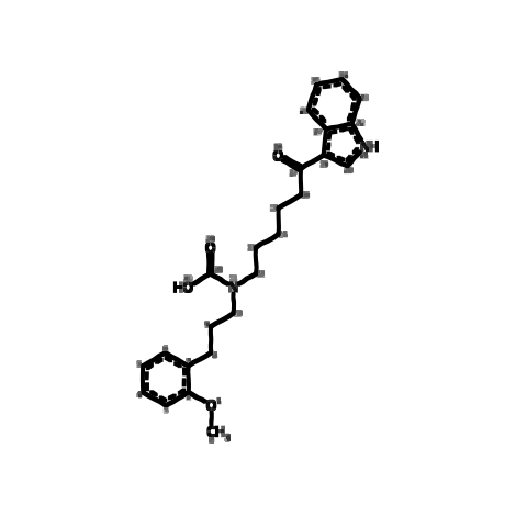 COc1ccccc1CCCN(CCCCCC(=O)c1c[nH]c2ccccc12)C(=O)O